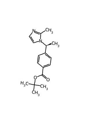 Cc1nccn1[C@@H](C)c1ccc(C(=O)OC(C)(C)C)cc1